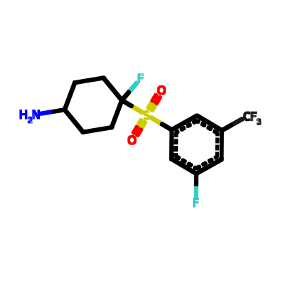 NC1CCC(F)(S(=O)(=O)c2cc(F)cc(C(F)(F)F)c2)CC1